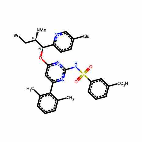 CN[C@H](CC(C)C)[C@H](Oc1cc(-c2c(C)cccc2C)nc(NS(=O)(=O)c2cccc(C(=O)O)c2)n1)c1ccc(C(C)(C)C)cn1